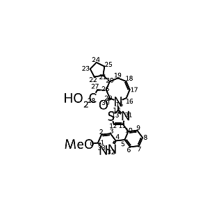 COc1ccc(-c2ccccc2-c2csc(N3C/C=C\C[C@H](C4CCCC4)[C@H](CC(=O)O)C3=O)n2)nn1